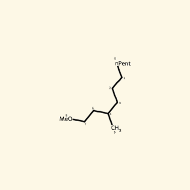 CCCCCCCCC(C)CCOC